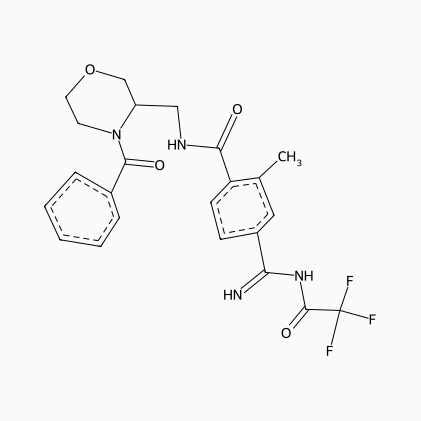 Cc1cc(C(=N)NC(=O)C(F)(F)F)ccc1C(=O)NCC1COCCN1C(=O)c1ccccc1